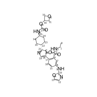 CCNS(=O)(=O)c1cc(Nc2ncco2)ccc1-c1cnc([C@H]2CC[C@H](NC(=O)OC3COC3)CC2)s1